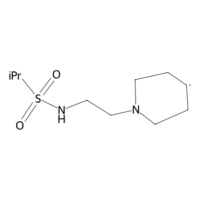 CC(C)S(=O)(=O)NCCN1CC[CH]CC1